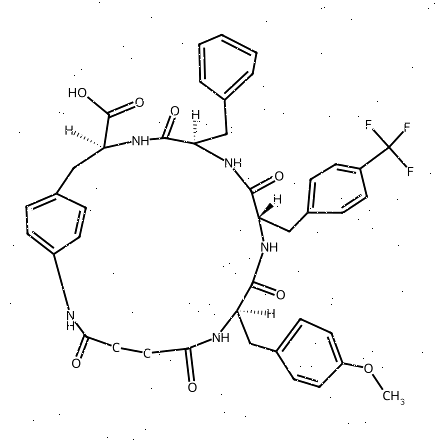 COc1ccc(C[C@H]2NC(=O)CCC(=O)Nc3ccc(cc3)C[C@@H](C(=O)O)NC(=O)[C@@H](Cc3ccccc3)NC(=O)[C@H](Cc3ccc(C(F)(F)F)cc3)NC2=O)cc1